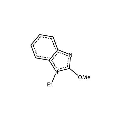 CCn1c(OC)nc2ccccc21